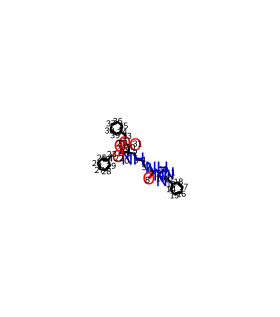 NC(CCCCNC(=O)n1cnc(-c2ccccc2)n1)(C(=O)OCc1ccccc1)C(=O)OCc1ccccc1